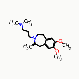 C=C1Cc2cc(OC)c(OC)cc2CCN1CCCN(C)C